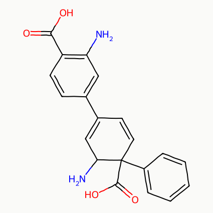 Nc1cc(C2=CC(N)C(C(=O)O)(c3ccccc3)C=C2)ccc1C(=O)O